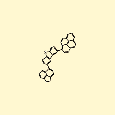 c1cc2ccc3ccc(-c4ccc5sc6ccc(-c7ccc8c9c(cccc79)CC8)cc6c5c4)c4ccc(c1)c2c34